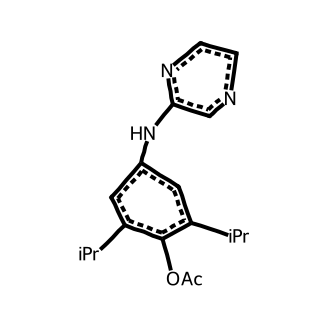 CC(=O)Oc1c(C(C)C)cc(Nc2cnccn2)cc1C(C)C